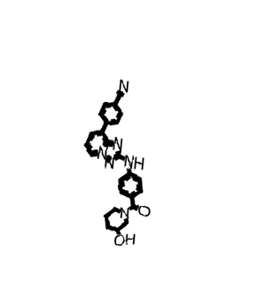 N#Cc1ccc(-c2cccn3nc(Nc4ccc(C(=O)N5CCCC(O)C5)cc4)nc23)cc1